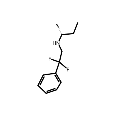 CC[C@@H](C)NCC(F)(F)c1ccccc1